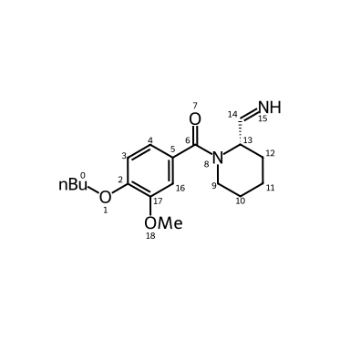 CCCCOc1ccc(C(=O)N2CCCC[C@H]2C=N)cc1OC